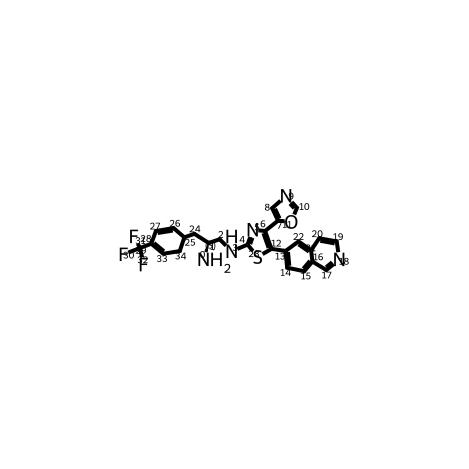 N[C@H](CNc1nc(-c2cnco2)c(-c2ccc3cnccc3c2)s1)CC1C=CC(C(F)(F)F)=CC1